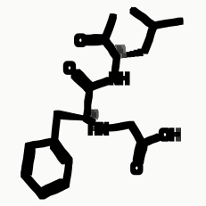 CC(=O)[C@H](CC(C)C)NC(=O)[C@H](Cc1ccccc1)NCC(=O)O